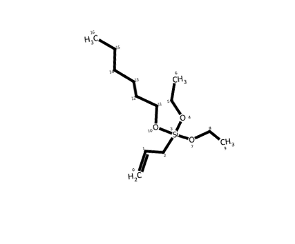 C=CC[Si](OCC)(OCC)OCCCCCC